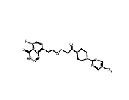 O=C(CCOCCc1ccc(F)c2c(=O)[nH]ncc12)N1CCN(c2ncc(C(F)(F)F)cn2)CC1